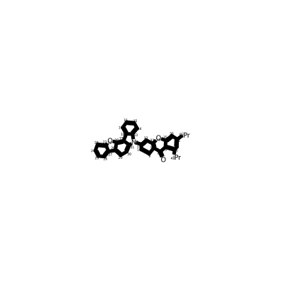 CC(C)c1cc(C(C)C)c2c(=O)c3ccc(-n4c5ccccc5c5c6oc7ccccc7c6ccc54)cc3oc2c1